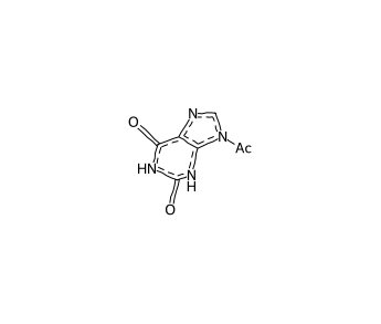 CC(=O)n1cnc2c(=O)[nH]c(=O)[nH]c21